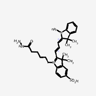 CCCN1/C(=C/C=C/C2=[N+](CCCCCC(=O)NN)c3ccc(S(=O)(=O)O)cc3C2(C)C)C(C)(C)c2ccccc21